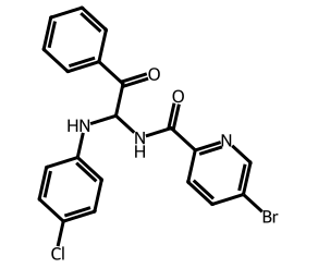 O=C(NC(Nc1ccc(Cl)cc1)C(=O)c1ccccc1)c1ccc(Br)cn1